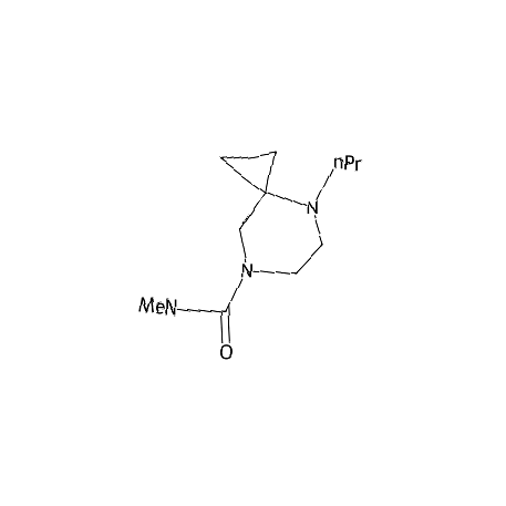 CCCN1CCN(C(=O)NC)CC12CC2